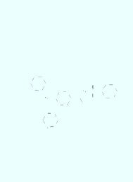 O=C(NS(=O)(=O)c1ccc(F)c(F)c1)c1ccc(N(c2ccc(OC(F)F)c(O[C@@H]3CCOC3)c2)C(O)c2cccnc2)cc1